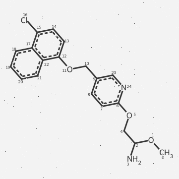 COC(N)COc1ccc(COc2ccc(Cl)c3ccccc23)cn1